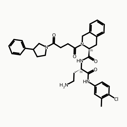 Cc1cc(NC(=O)[C@H](CCN)NC(=O)[C@@H]2Cc3ccccc3CN2C(=O)CCC(=O)N2CCC(c3ccccc3)C2)ccc1Cl